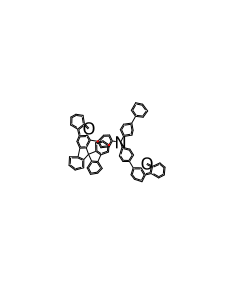 c1ccc(-c2ccc(N(c3ccc(-c4cccc5c4oc4ccccc45)cc3)c3ccc(-c4c5c(cc6c4oc4ccccc46)-c4ccccc4C54c5ccccc5-c5ccccc54)cc3)cc2)cc1